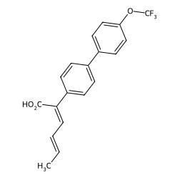 CC=CC=C(C(=O)O)c1ccc(-c2ccc(OC(F)(F)F)cc2)cc1